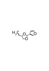 C=CC1COC(c2ccoc2)O1